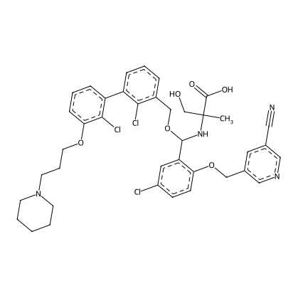 CC(CO)(NC(OCc1cccc(-c2cccc(OCCCN3CCCCC3)c2Cl)c1Cl)c1cc(Cl)ccc1OCc1cncc(C#N)c1)C(=O)O